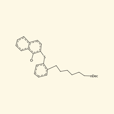 CCCCCCCCCCCCCCCCc1ccccc1Sc1ccc2ccccc2c1[O]